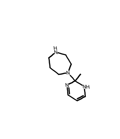 CC1(N2CCCNCC2)N=CC=CN1